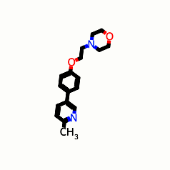 Cc1ccc(-c2ccc(OCCN3CCOCC3)cc2)cn1